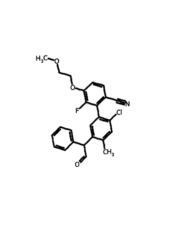 COCCOc1ccc(C#N)c(-c2cc(C(C=O)c3ccccc3)c(C)cc2Cl)c1F